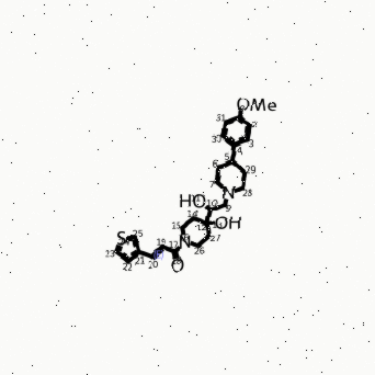 COc1ccc(C2CCN(CC(O)C3(O)CCN(C(=O)/C=C/c4ccsc4)CC3)CC2)cc1